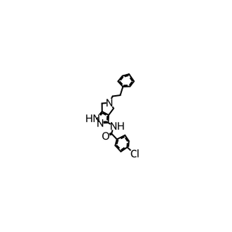 O=C(Nc1n[nH]c2c1CN(CCc1ccccc1)C2)c1ccc(Cl)cc1